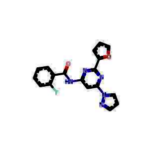 O=C(Nc1cc(-n2cccn2)nc(-c2ccco2)n1)c1ccccc1F